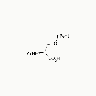 CCCCCOC[C@H](NC(C)=O)C(=O)O